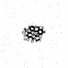 CCP(=O)(CC)c1cn2c(c(O)c1=O)C(=O)N1CCOC[C@H]1N2[C@@H]1c2ccccc2SCc2c1ccc(F)c2F